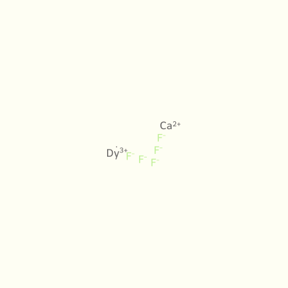 [Ca+2].[Dy+3].[F-].[F-].[F-].[F-].[F-]